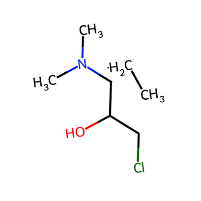 CN(C)CC(O)CCl.[CH2]C